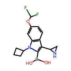 OB(O)c1c(C2CN2)c2ccc(OC(F)F)cc2n1C1CCC1